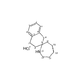 Cl.c1ccc2c(c1)CCC1(CCCCCN1)C2